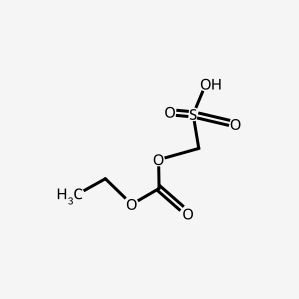 CCOC(=O)OCS(=O)(=O)O